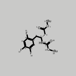 CC(C)(C)OC(=O)C[C@@H](Cc1cc(F)c(F)cc1F)NC(=O)OC(C)(C)C